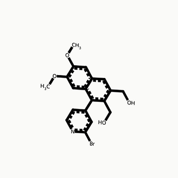 COc1cc2cc(CO)c(CO)c(-c3ccnc(Br)c3)c2cc1OC